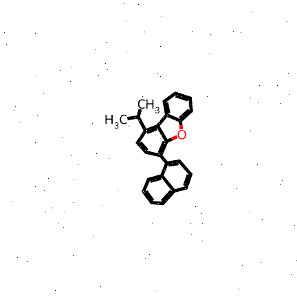 CC(C)c1ccc(-c2cccc3ccccc23)c2oc3ccccc3c12